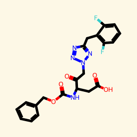 O=C(O)CC(NC(=O)OCc1ccccc1)C(=O)Cn1nnc(Cc2c(F)cccc2F)n1